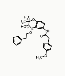 COc1ccc(CC(=O)Nc2ccc3c(c2)[C@H](OCCc2ccccc2)[C@@H](O)C(C)(C)O3)cc1